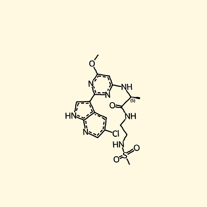 COc1cc(N[C@@H](C)C(=O)NCCNS(C)(=O)=O)nc(-c2c[nH]c3ncc(Cl)cc23)n1